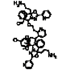 COC(C)(C=O)C(OCCc1ncccc1C(Cc1cc(Cl)ccn1)OC(N1N=C(c2cccnc2)O[C@@]1(CCCN)c1ccccc1)[C@@](C)(C=O)OC)N1N=C(c2ccccn2)O[C@@]1(CCCN)c1ccccc1